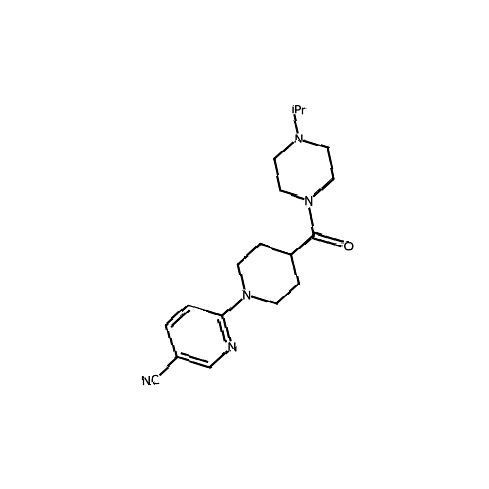 CC(C)N1CCN(C(=O)C2CCN(c3ccc(C#N)cn3)CC2)CC1